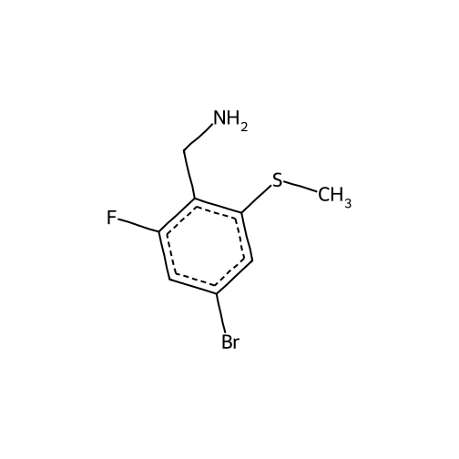 CSc1cc(Br)cc(F)c1CN